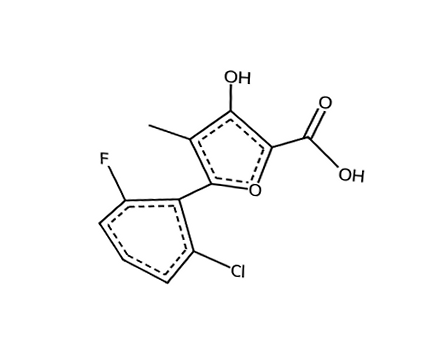 Cc1c(-c2c(F)cccc2Cl)oc(C(=O)O)c1O